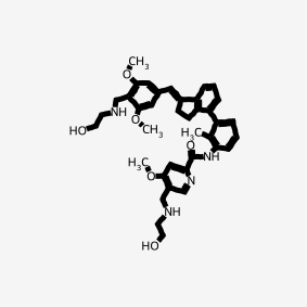 COc1cc(C(=O)Nc2cccc(-c3cccc4c3CCC4=Cc3cc(OC)c(CNCCO)c(OC)c3)c2C)ncc1CNCCO